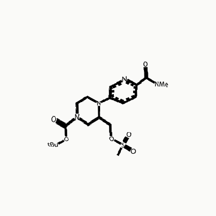 CNC(=O)c1ccc(N2CCN(C(=O)OC(C)(C)C)CC2COS(C)(=O)=O)cn1